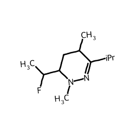 CC(C)C1=NN(C)C(C(C)F)CC1C